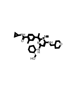 C=NN1C(NCC2CCOCC2)=CC(N[C@H]2CCCC[C@H]2CO)=N/C1=C(/C)c1ccc(C(=O)NC2CC2)c(C)c1